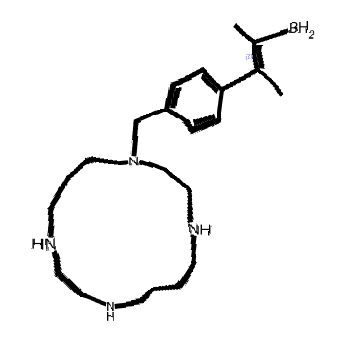 B/C(C)=C(\C)c1ccc(CN2CCCNCCNCCCNCC2)cc1